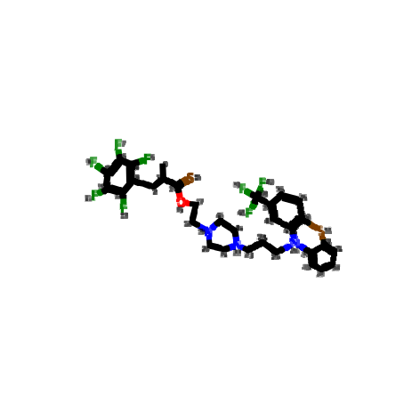 CC(Cc1c(F)c(F)c(F)c(F)c1F)C(=S)OCCN1CCN(CCCN2c3ccccc3Sc3ccc(C(F)(F)F)cc32)CC1